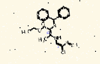 C=N/C(Cl)=C\N/C(C)=C(\N=C(c1ccccc1)c1ccccc1)C(=O)OCC